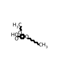 CCC=COc1cc(OCCCCCCCC)ccc1C(=O)O